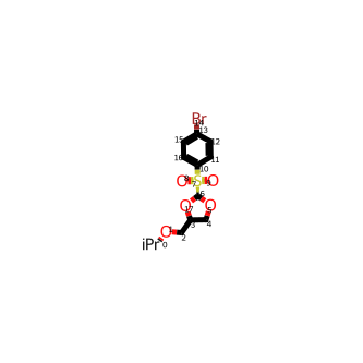 CC(C)OCC1CO[C@H](S(=O)(=O)c2ccc(Br)cc2)O1